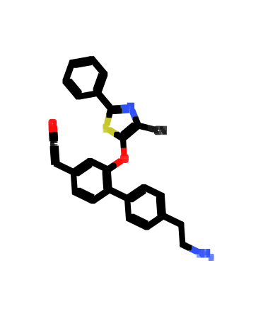 N#Cc1nc(-c2ccccc2)sc1Oc1cc(C=C=O)ccc1-c1ccc(CCN)cc1